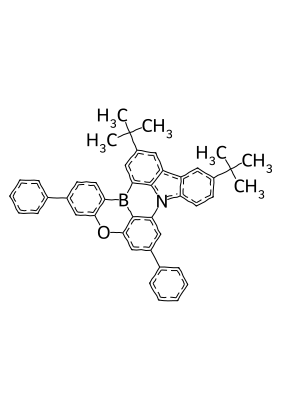 CC(C)(C)c1ccc2c(c1)c1cc(C(C)(C)C)cc3c1n2-c1cc(-c2ccccc2)cc2c1B3c1ccc(-c3ccccc3)cc1O2